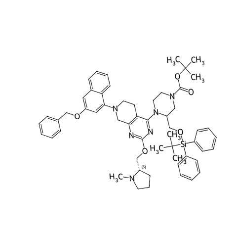 CN1CCC[C@H]1COc1nc2c(c(N3CCN(C(=O)OC(C)(C)C)CC3CO[Si](c3ccccc3)(c3ccccc3)C(C)(C)C)n1)CCN(c1cc(OCc3ccccc3)cc3ccccc13)C2